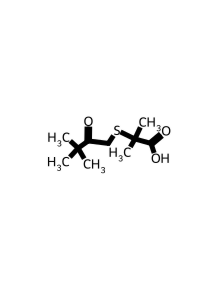 CC(C)(C)C(=O)CSC(C)(C)C(=O)O